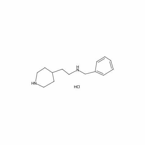 Cl.c1ccc(CNCCC2CCNCC2)cc1